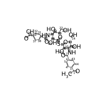 CC(=O)c1ccc(C(=O)N[C@@H]2[C@@H](O)[C@@H](CO)O[C@@H](S[C@@H]3O[C@H](CO)[C@H](O)[C@@H](NC(=O)c4ccc(C(C)=O)cc4)[C@H]3O)[C@@H]2O)cc1